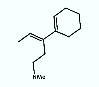 C/C=C(\CCNC)C1=CCCCC1